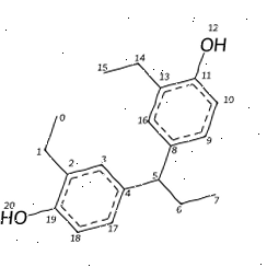 CCc1cc(C(CC)c2ccc(O)c(CC)c2)ccc1O